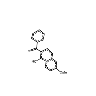 COc1ccc2c(O)c(C(=O)c3ccccc3)ccc2c1